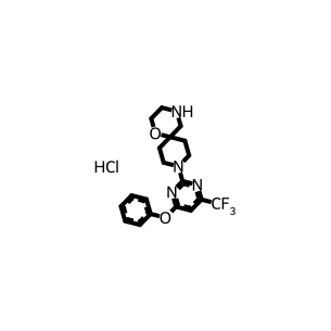 Cl.FC(F)(F)c1cc(Oc2ccccc2)nc(N2CCC3(CC2)CNCCO3)n1